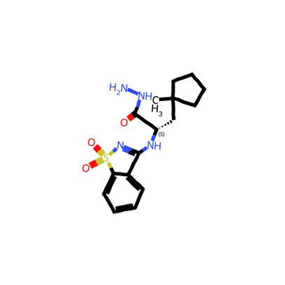 CC1(C[C@H](NC2=NS(=O)(=O)c3ccccc32)C(=O)NN)CCCC1